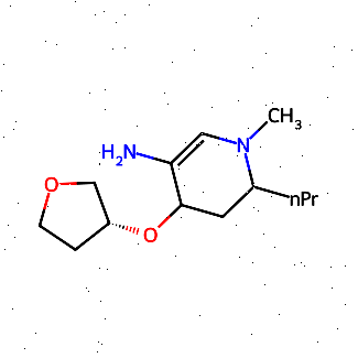 CCCC1CC(O[C@@H]2CCOC2)C(N)=CN1C